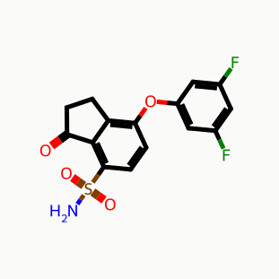 NS(=O)(=O)c1ccc(Oc2cc(F)cc(F)c2)c2c1C(=O)CC2